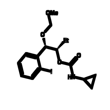 CC[C@H](OC(=O)NC1CC1)[C@@H](OCOC)c1ccccc1I